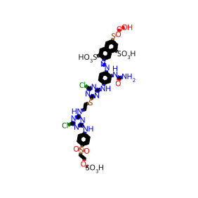 NC(=O)Nc1cc(Nc2nc(Cl)nc(SCCNc3nc(Cl)nc(Nc4ccc(S(=O)(=O)CCOS(=O)(=O)O)cc4)n3)n2)ccc1/N=N/c1cc2c(S(=O)(=O)O)cc(SOOO)cc2cc1S(=O)(=O)O